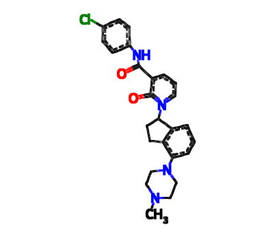 CN1CCN(c2cccc3c2CCC3n2cccc(C(=O)Nc3ccc(Cl)cc3)c2=O)CC1